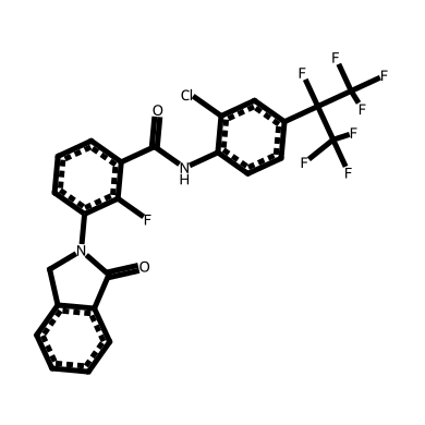 O=C(Nc1ccc(C(F)(C(F)(F)F)C(F)(F)F)cc1Cl)c1cccc(N2Cc3ccccc3C2=O)c1F